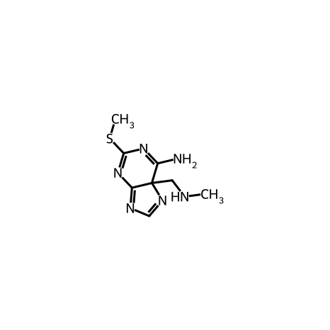 CNCC12N=CN=C1N=C(SC)N=C2N